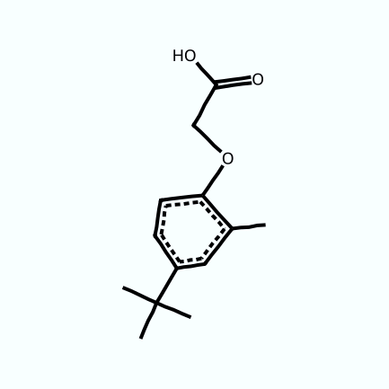 Cc1cc(C(C)(C)C)ccc1OCC(=O)O